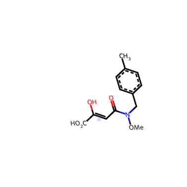 CON(Cc1ccc(C)cc1)C(=O)/C=C(\O)C(=O)O